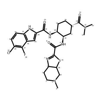 CN1CCC2N=C(C(=O)N[C@@H]3C[C@@H](C(=O)N(C)C)CC[C@@H]3NC(=O)c3cc4c(F)c(Cl)ccc4[nH]3)SC2C1